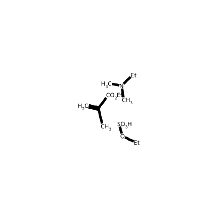 C=C(C)C(=O)OCC.CCN(C)C.CCOS(=O)(=O)O